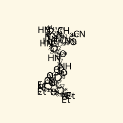 CCN(CC)c1ccc2c(-c3ccc(S(=O)(=O)NCCNC(=O)c4ccc(Nc5nc(N(C)[C@H]6CN(C(=O)CC#N)CC[C@H]6C)c6cc[nH]c6n5)cc4)cc3S(=O)(=O)[O-])c3ccc(=[N+](CC)CC)cc-3oc2c1